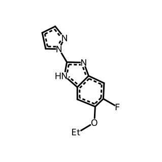 CCOc1cc2[nH]c(-n3cccn3)nc2cc1F